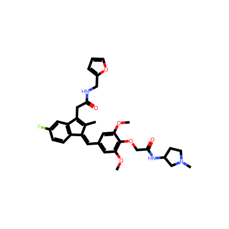 COc1cc(C=C2C(C)=C(CC(=O)NCc3ccco3)c3cc(F)ccc32)cc(OC)c1OCC(=O)NC1CCN(C)C1